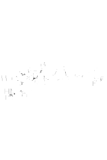 C[C@@](C[C@H]1CN(c2ccc(C#CC3CC3(F)F)cc2)C(=O)O1)(C(=O)NO)S(C)(=O)=O